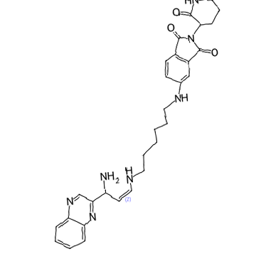 NC(/C=C\NCCCCCCNc1ccc2c(c1)C(=O)N(C1CCC(=O)NC1=O)C2=O)c1cnc2ccccc2n1